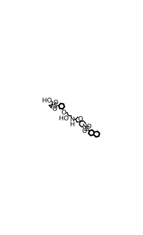 O=S(=O)(c1ccc2ccccc2c1)N1CCC2(CC1)CC(NCC(O)COc1cccc(S(=O)(=O)C3(CO)CC3)c1)CO2